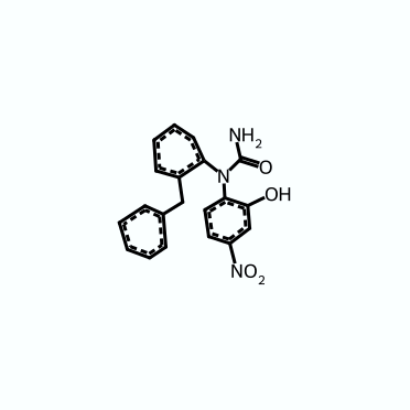 NC(=O)N(c1ccc([N+](=O)[O-])cc1O)c1ccccc1Cc1ccccc1